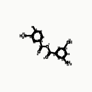 Cc1ccc(C(=O)OC(=O)c2cc(N)cc(O)c2)cc1N